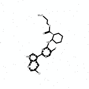 COCCOC(=O)[C@H]1CCCCC1Nc1nc(-c2c[nH]c3ncc(Cl)cc23)ncc1F